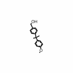 COc1ccc(C(C)(C)c2ccc(CO)cc2)cc1